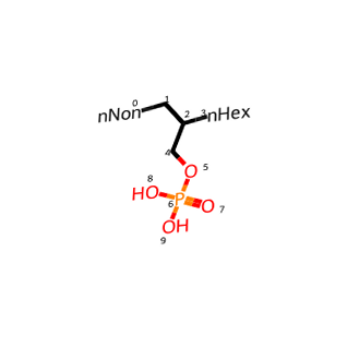 CCCCCCCCCCC(CCCCCC)COP(=O)(O)O